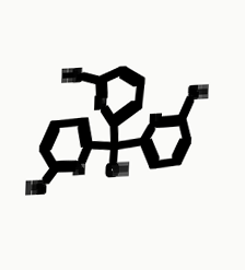 OC(c1cccc(S)n1)(c1cccc(S)n1)c1cccc(S)n1